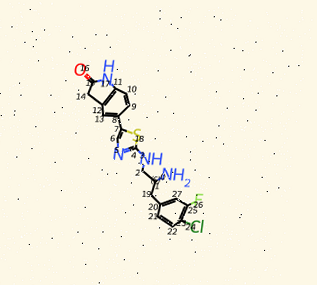 N[C@H](CNc1ncc(-c2ccc3c(c2)CC(=O)N3)s1)Cc1ccc(Cl)c(F)c1